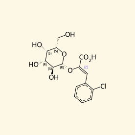 O=C(O)/C(=C/c1ccccc1Cl)O[C@H]1O[C@@H](CO)[C@@H](O)[C@@H](O)[C@@H]1O